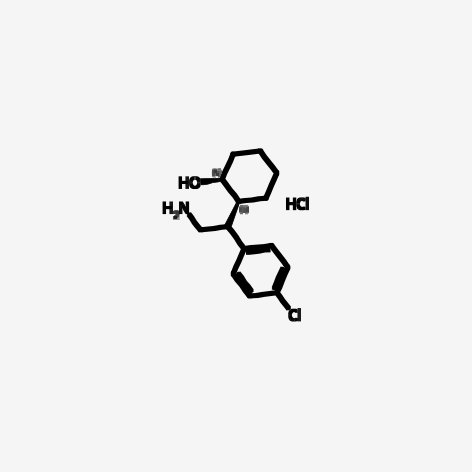 Cl.NCC(c1ccc(Cl)cc1)[C@@H]1CCCC[C@@H]1O